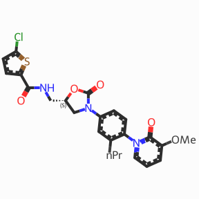 CCCc1cc(N2C[C@H](CNC(=O)c3ccc(Cl)s3)OC2=O)ccc1-n1cccc(OC)c1=O